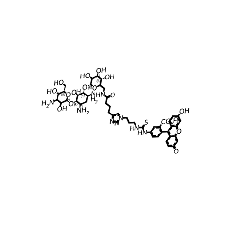 NC1C[C@@H](N)[C@@H](O[C@@H]2O[C@H](CO)[C@H](O)C(N)C2O)C(O)[C@@H]1O[C@H]1OC(CNC(=O)CCCc2cn(CCCNC(=S)Nc3ccc(-c4c5ccc(=O)cc-5oc5cc(O)ccc45)c(C(=O)O)c3)nn2)[C@@H](O)[C@H](O)C1O